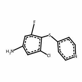 Nc1cc(F)c(Sc2ccncc2)c(Cl)c1